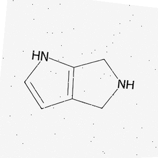 c1cc2c([nH]1)CNC2